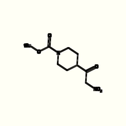 CC(C)(C)OC(=O)N1CCC(C(=O)C[N+](=O)[O-])CC1